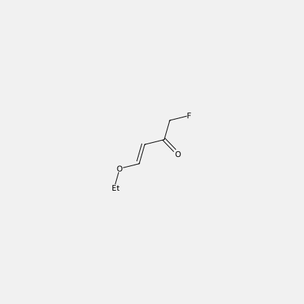 CCOC=CC(=O)CF